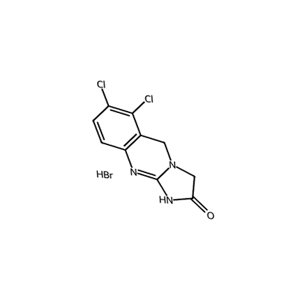 Br.O=C1CN2Cc3c(ccc(Cl)c3Cl)N=C2N1